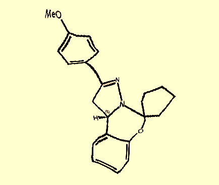 COc1ccc(C2=NN3[C@@H](C2)c2ccccc2OC32CCCC2)cc1